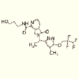 Cc1cc(C(C)N2Cc3c(ccnc3C(=O)NCCCO)C2=O)nnc1OCC(F)(F)C(F)F